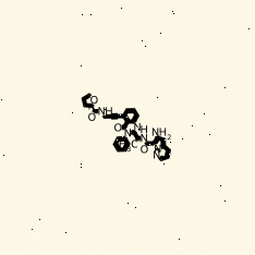 C[C@H](NC(=O)c1c(N)cc2cccnn12)c1nc2cccc(C#CCNC(=O)[C@H]3CCCO3)c2c(=O)n1-c1ccccc1